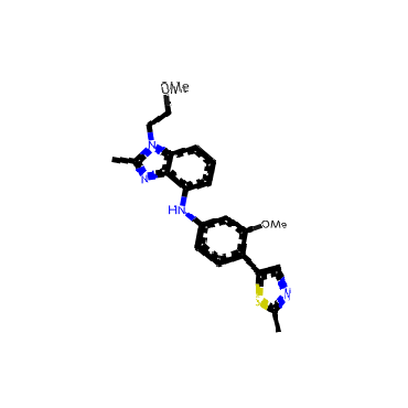 COCCn1c(C)nc2c(Nc3ccc(-c4cnc(C)s4)c(OC)c3)cccc21